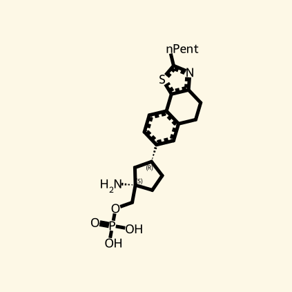 CCCCCc1nc2c(s1)-c1ccc([C@@H]3CC[C@@](N)(COP(=O)(O)O)C3)cc1CC2